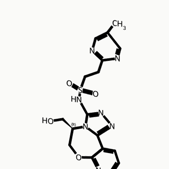 Cc1cnc(CCS(=O)(=O)Nc2nnc3n2[C@H](CO)COc2ncccc2-3)nc1